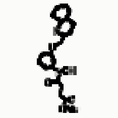 COC(=O)CCC(=O)N(O)c1cccc(OCc2ccc3ccccc3n2)c1